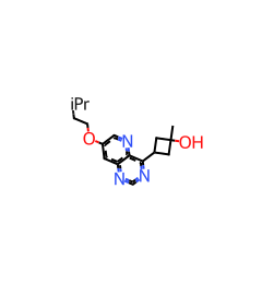 CC(C)CCOc1cnc2c(C3CC(C)(O)C3)ncnc2c1